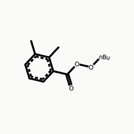 [CH2]CCCOOC(=O)c1cccc(C)c1C